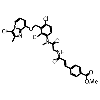 COC(=O)c1ccc(/C=C/C(=O)NCC(=O)N(C)c2ccc(Cl)c(COc3cccn4c(Cl)c(C)nc34)c2Cl)cc1